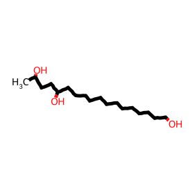 CC(O)CCC(O)CCCCCCCCCCCCCO